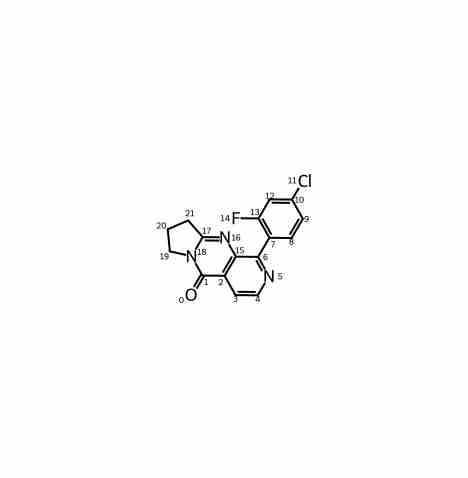 O=c1c2ccnc(-c3ccc(Cl)cc3F)c2nc2n1CCC2